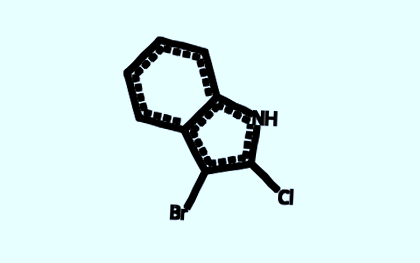 Clc1[nH]c2ccccc2c1Br